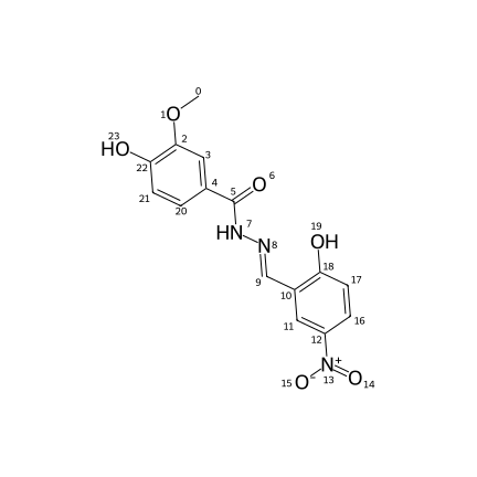 COc1cc(C(=O)NN=Cc2cc([N+](=O)[O-])ccc2O)ccc1O